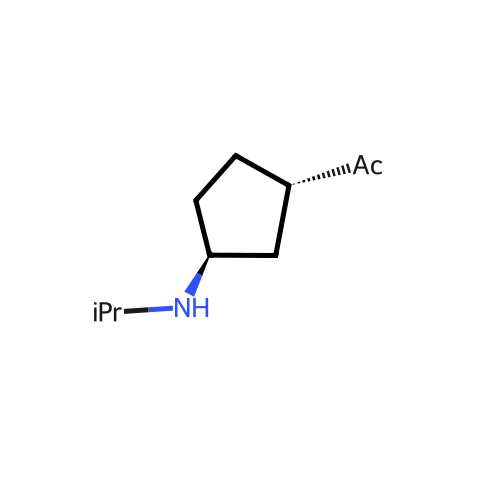 CC(=O)[C@H]1CC[C@H](NC(C)C)C1